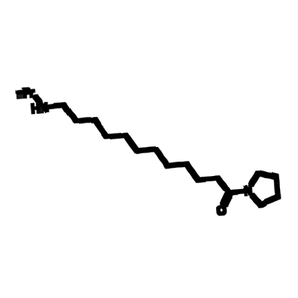 CCCNCCCCCCCCCCCC(=O)N1CCCC1